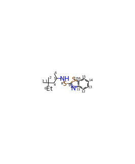 CCC(C)(C)CC(C)NSc1nc2ccccc2s1